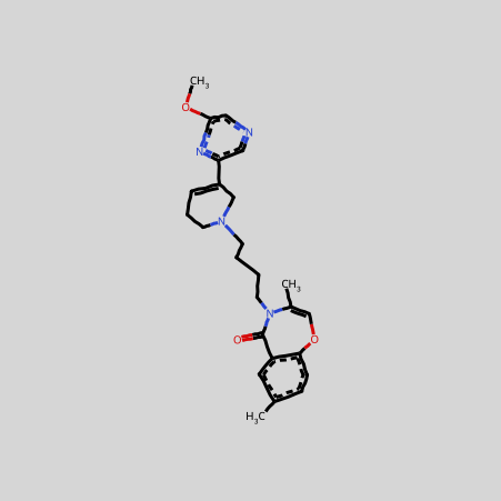 COc1cncc(C2=CCCN(CCCCN3C(=O)c4cc(C)ccc4OC=C3C)C2)n1